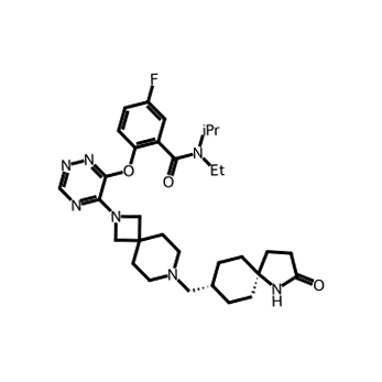 CCN(C(=O)c1cc(F)ccc1Oc1nncnc1N1CC2(CCN(C[C@H]3CC[C@@]4(CCC(=O)N4)CC3)CC2)C1)C(C)C